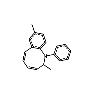 Cc1ccc2c(c1)C=C/C=C\C(C)N2c1ccccc1